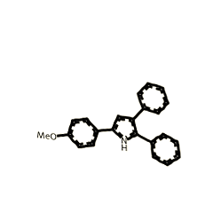 COc1ccc(-c2cc(-c3ccccc3)c(-c3ccccc3)[nH]2)cc1